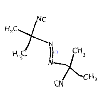 [C-]#[N+]C(C)(C)/N=N/C(C)(C)[N+]#[C-]